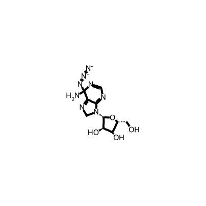 [N-]=[N+]=NC1(N)N=CN=C2C1=NCN2[C@@H]1O[C@H](CO)[C@@H](O)[C@H]1O